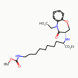 CCOC(=O)[C@H](CCCCCCCCNC(=O)OC(C)(C)C)N[C@H]1COc2ccccc2N(CC(=O)O)C1=O